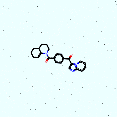 O=C(c1ccc(C(=O)N2CCCC3CCCC=C32)cc1)c1cnc2ccccn12